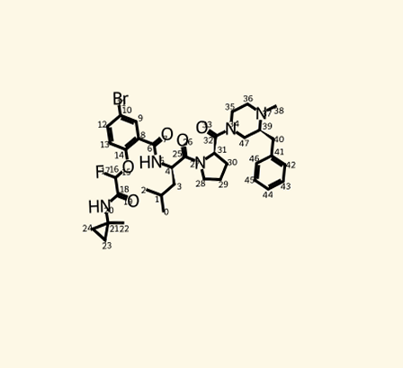 CC(C)C[C@@H](NC(=O)c1cc(Br)ccc1OC(F)C(=O)NC1(C)CC1)C(=O)N1CCC[C@@H]1C(=O)N1CCN(C)[C@@H](Cc2ccccc2)C1